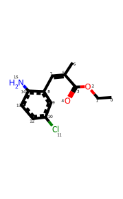 CCOC(=O)C(C)=Cc1cc(Cl)ccc1N